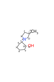 C[C@@H]1CCN(C2CCCC[C@H]2O)C1